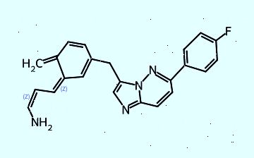 C=c1ccc(Cc2cnc3ccc(-c4ccc(F)cc4)nn23)c/c1=C/C=C\N